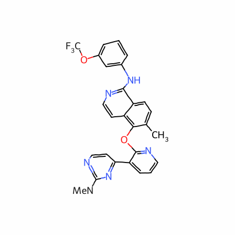 CNc1nccc(-c2cccnc2Oc2c(C)ccc3c(Nc4cccc(OC(F)(F)F)c4)nccc23)n1